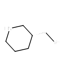 CC(C)C[C@@H]1CCCNC1